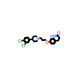 O=C1CCc2ccc(OCCCN3CCC(c4ccc(Cl)c(Cl)c4)CC3)cc2N1